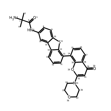 CC(C)(N)C(=O)Nc1ccc2sc3c(-c4cccc5c(=O)cc(N6CCOCC6)oc45)cccc3c2c1